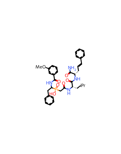 COc1cccc(C(=O)NC(Cc2ccccc2)P(=O)(O)CC(=O)N[C@@H](CC(C)C)C(=O)N[C@@H](CC=Cc2ccccc2)C(N)=O)c1